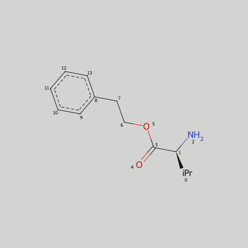 CC(C)[C@H](N)C(=O)OCCc1ccccc1